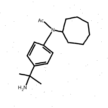 CC(=O)N(c1ccc(C(C)(C)N)cc1)C1CCCCCC1